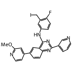 COc1cc(-c2ccc3nc(-c4cccnc4)nc(Nc4ccc(F)c(CI)c4)c3c2)ccn1